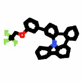 FC(F)(F)COc1cccc(-c2ccc3c(c2)-n2c4ccccc4c4cccc(c42)-c2ccccc2-3)c1